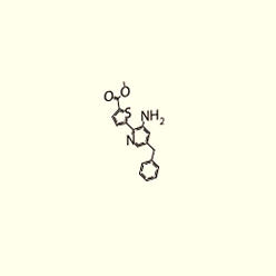 COC(=O)c1ccc(-c2ncc(Cc3ccccc3)cc2N)s1